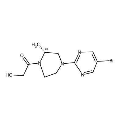 C[C@@H]1CN(c2ncc(Br)cn2)CCN1C(=O)CO